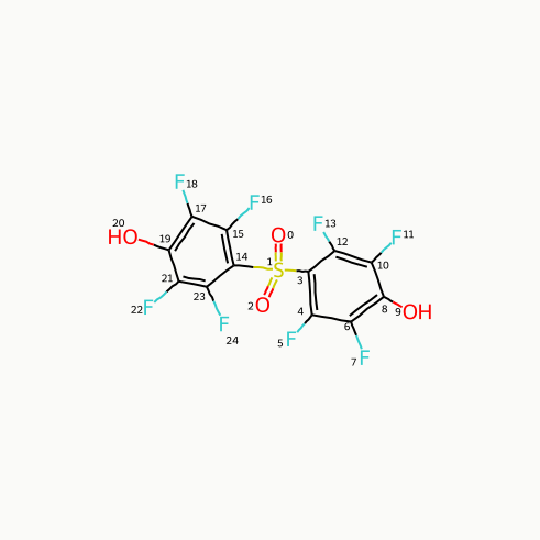 O=S(=O)(c1c(F)c(F)c(O)c(F)c1F)c1c(F)c(F)c(O)c(F)c1F